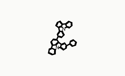 c1ccc(-c2ccc3c(c2)c2c(-c4ccc5c(c4)c4cccc6c7ccccc7n5c64)ccc4c5ccccc5n3c42)cc1